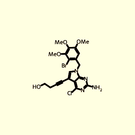 COc1cc(Cn2cc(C#CCCO)c3c(Cl)nc(N)nc32)c(Br)c(OC)c1OC